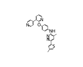 Cc1csc(-c2cc(C)c(Nc3ccc(Oc4ncccc4-c4ccncc4)cc3)nn2)c1